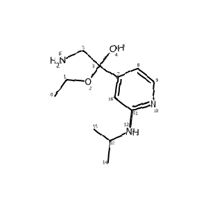 CCOC(O)(CN)c1ccnc(NC(C)C)c1